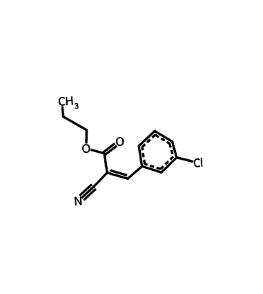 CCCOC(=O)C(C#N)=Cc1cccc(Cl)c1